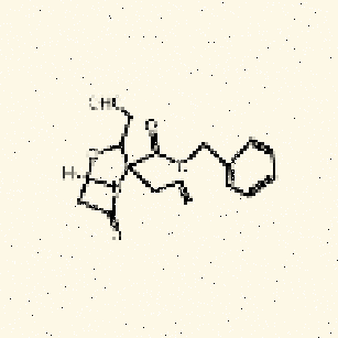 C=CCC1(C(=O)OCc2ccccc2)C(CC=O)O[C@@H]2CC(=O)N21